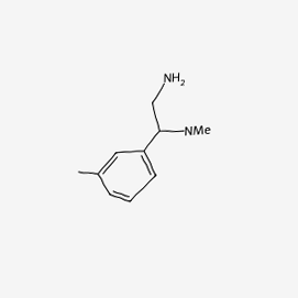 CNC(CN)c1cccc(C)c1